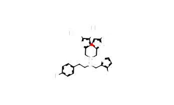 Cc1ccc(CN(Cc2cc(C)c(C)o2)N(CCc2ccc(F)cc2)Cc2sccc2C)o1